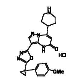 COc1ccc(C2(c3nnc(-c4cnn5c(C6CCNCC6)cc(=O)[nH]c45)o3)CC2)cc1.Cl